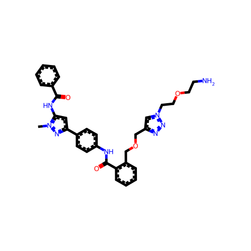 Cn1nc(-c2ccc(NC(=O)c3ccccc3COCc3cn(CCOCCN)nn3)cc2)cc1NC(=O)c1ccccc1